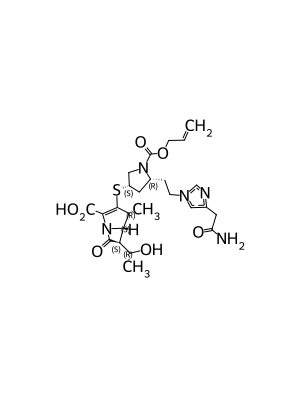 C=CCOC(=O)N1C[C@@H](SC2=C(C(=O)O)N3C(=O)[C@H]([C@@H](C)O)[C@H]3[C@H]2C)C[C@H]1CCn1cnc(CC(N)=O)c1